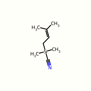 CC(C)=CC[Si](C)(C)C#N